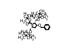 CC(C)(C)OC(=O)N1[C@@H](CO[Si](C)(C)C(C)(C)C)C[C@H](OCc2ccccc2)[C@H]1CO[Si](C)(C)C(C)(C)C